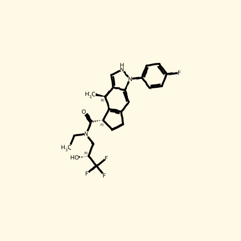 CCN(C[C@@H](O)C(F)(F)F)C(=O)[C@H]1CCC2=C1[C@@H](C)C1=CNN(c3ccc(F)cc3)C1=C2